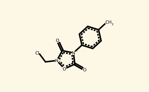 Cc1ccc(-n2c(=O)on(CCl)c2=O)cc1